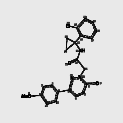 COc1ccc(-c2ccc(=O)n(CC(=O)NC3(c4ccccc4Cl)CC3)n2)cc1